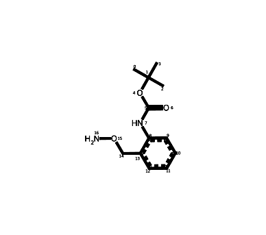 CC(C)(C)OC(=O)Nc1ccccc1CON